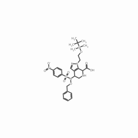 CC(C)(C)[Si](C)(C)OCCn1ncc2c1C(C(=O)O)NCC2N(OCc1ccccc1)S(=O)(=O)c1ccc([N+](=O)[O-])cc1